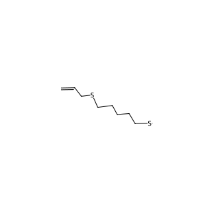 C=CCSCCCCC[S]